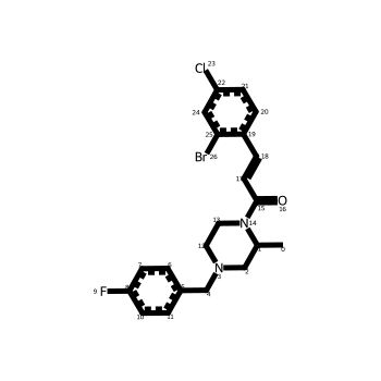 CC1CN(Cc2ccc(F)cc2)CCN1C(=O)/C=C/c1ccc(Cl)cc1Br